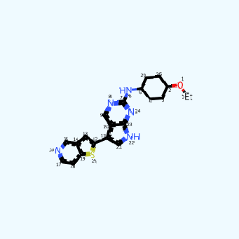 CCOC1CCC(Nc2ncc3c(-c4cc5cnccc5s4)c[nH]c3n2)CC1